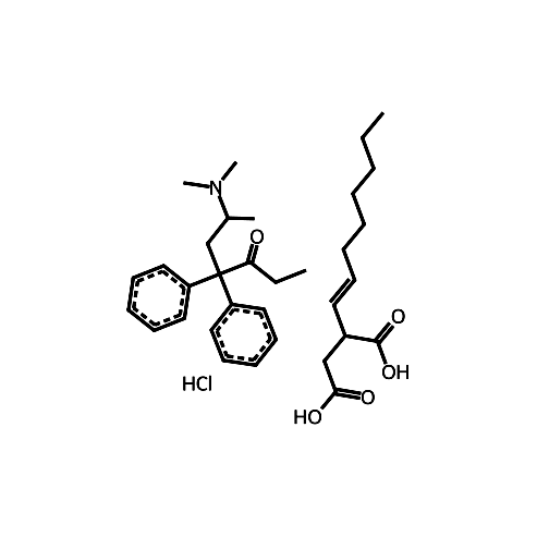 CCC(=O)C(CC(C)N(C)C)(c1ccccc1)c1ccccc1.CCCCCC/C=C/C(CC(=O)O)C(=O)O.Cl